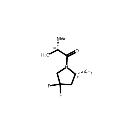 CN[C@@H](C)C(=O)N1CC(F)(F)C[C@H]1C